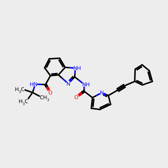 CC(C)(C)NC(=O)c1cccc2[nH]c(NC(=O)c3cccc(C#Cc4ccccc4)n3)nc12